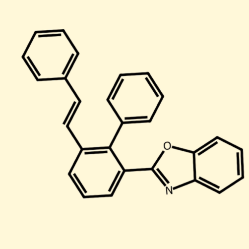 C(=Cc1cccc(-c2nc3ccccc3o2)c1-c1ccccc1)c1ccccc1